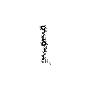 CCCCCCCCOc1ccc(C=NCCCCc2ccccc2)cc1